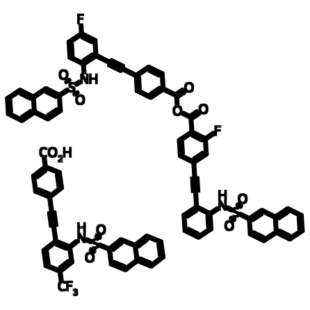 O=C(O)c1ccc(C#Cc2ccc(C(F)(F)F)cc2NS(=O)(=O)c2ccc3ccccc3c2)cc1.O=C(OC(=O)c1ccc(C#Cc2ccccc2NS(=O)(=O)c2ccc3ccccc3c2)cc1F)c1ccc(C#Cc2cc(F)ccc2NS(=O)(=O)c2ccc3ccccc3c2)cc1